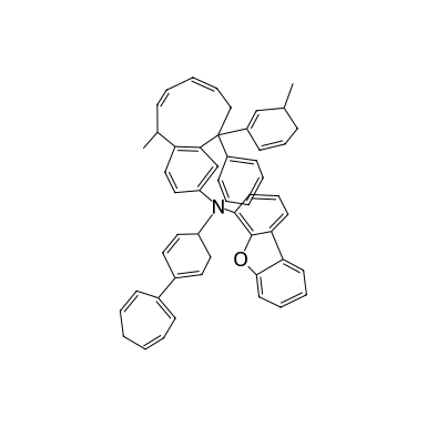 CC1C=C(C2(c3ccccc3)C/C=C\C=C/C(C)c3ccc(N(c4cccc5c4oc4ccccc45)C4C=CC(C5=CC=CCC=C5)=CC4)cc32)C=CC1